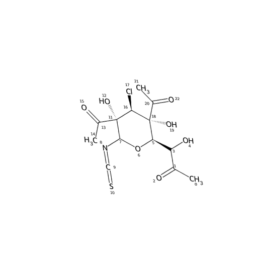 CC(=O)C(O)[C@H]1OC(N=C=S)[C@@](O)(C(C)=O)[C@@H](Cl)[C@@]1(O)C(C)=O